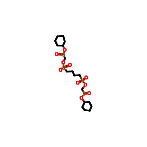 O=S(COS(=O)(=O)CCCCS(=O)(=O)OCS(=O)OC1CCCCC1)OC1CCCCC1